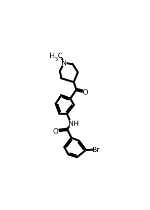 CN1CCC(C(=O)c2cccc(NC(=O)c3cccc(Br)c3)c2)CC1